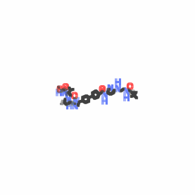 COC(=O)N[C@H](C(=O)N1C[C@@H](C)C[C@H]1c1nc(-c2ccc(-c3ccc(C(=O)Nc4ccc(NCCNC(=O)[C@H]5CC5(C)C)nc4)cc3)cc2)c[nH]1)C(C)C